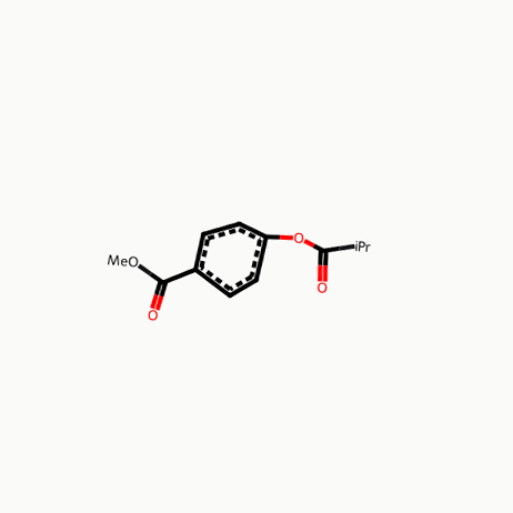 COC(=O)c1ccc(OC(=O)C(C)C)cc1